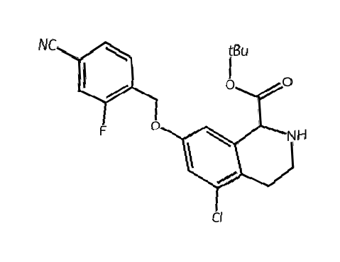 CC(C)(C)OC(=O)C1NCCc2c(Cl)cc(OCc3ccc(C#N)cc3F)cc21